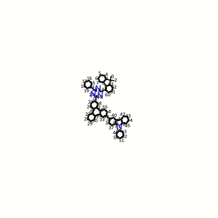 CC1(C)c2ccccc2-c2c(-c3nc(-c4ccccc4)nc(-c4ccc5c6ccccc6c6cc(-c7ccc8c(c7)c7ccccc7n8-c7ccccc7)ccc6c5c4)n3)cccc21